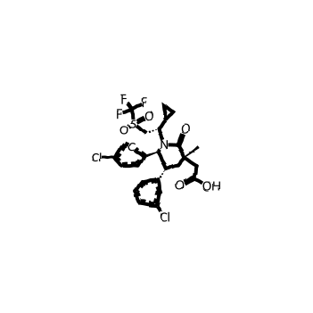 C[C@@]1(CC(=O)O)C[C@H](c2cccc(Cl)c2)[C@@H](c2ccc(Cl)cc2)N([C@H](CS(=O)(=O)C(F)(F)F)C2CC2)C1=O